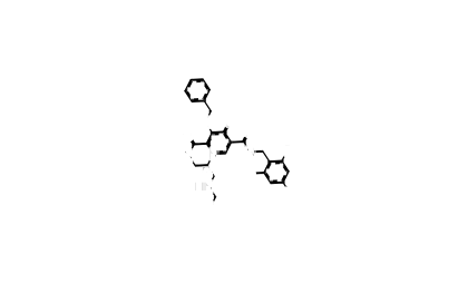 O=C(NCc1c(F)cc(F)cc1F)c1cn2c(c(OCc3ccccc3)c1=O)C(=O)NC[C@@H]2CNCO